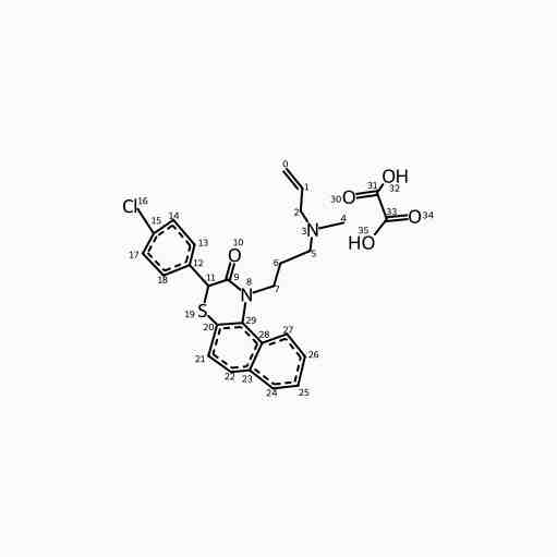 C=CCN(C)CCCN1C(=O)C(c2ccc(Cl)cc2)Sc2ccc3ccccc3c21.O=C(O)C(=O)O